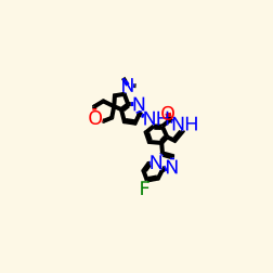 CN(C)C1CC2(CCOCC2)c2ccc(Nc3ccc(-c4cnc5cc(F)ccn45)c4cc[nH]c(=O)c34)nc21